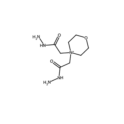 NNC(=O)C[N+]1(CC(=O)NN)CCOCC1